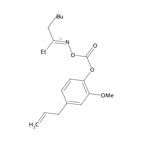 C=CCc1ccc(OC(=O)O/N=C(\CC)CC(C)CC)c(OC)c1